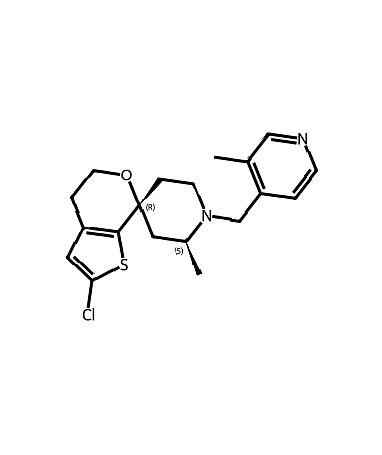 Cc1cnccc1CN1CC[C@]2(C[C@@H]1C)OCCc1cc(Cl)sc12